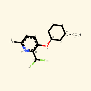 CC(C)c1ccc(O[C@H]2CCC[C@H](C(=O)O)C2)c(C(F)F)n1